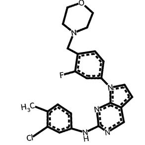 Cc1ccc(Nc2ncc3ccn(-c4ccc(CN5CCOCC5)c(F)c4)c3n2)cc1Cl